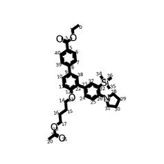 CCOC(=O)c1ccc(-c2ccc(OCCCCOC(C)=O)c(-c3ccc(N4CCCC4)c([Si](C)(C)C)c3)c2)cc1